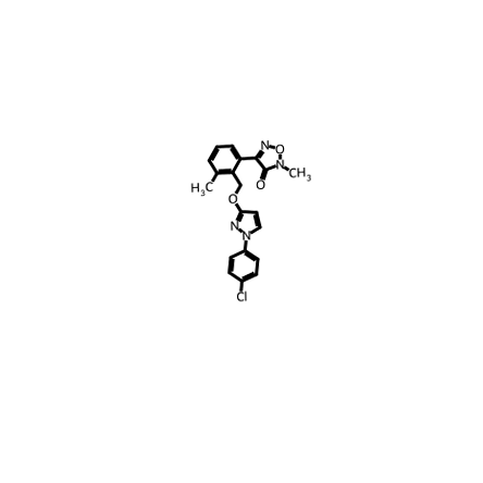 Cc1cccc(-c2non(C)c2=O)c1COc1ccn(-c2ccc(Cl)cc2)n1